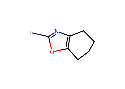 Ic1nc2c(o1)CCCC2